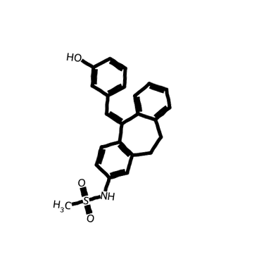 CS(=O)(=O)Nc1ccc2c(c1)CCc1ccccc1/C2=C\c1cccc(O)c1